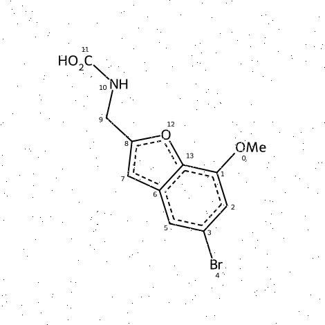 COc1cc(Br)cc2cc(CNC(=O)O)oc12